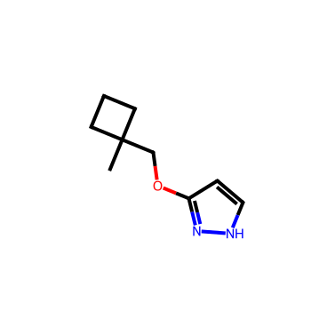 CC1(COc2cc[nH]n2)CCC1